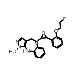 Cn1ncc2c1Nc1ccccc1N(C1OC1c1ccccc1OCCF)C2